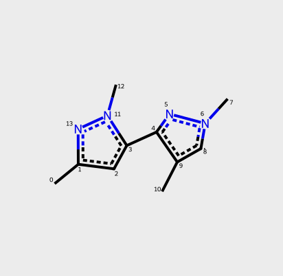 Cc1cc(-c2nn(C)[c]c2C)n(C)n1